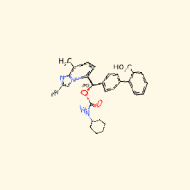 CCCc1cn2c([C@H](OC(=O)NC3CCCCC3)c3ccc(-c4ccccc4C(=O)O)cc3)ccc(C)c2n1